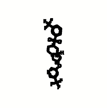 O=S(=O)(c1cccc(C(F)(F)F)c1)N1CCN2C[C@@H](Oc3cncc(C(F)(F)F)c3)C[C@H]2C1